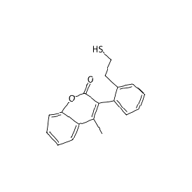 Cc1c(-c2ccccc2CCS)c(=O)oc2ccccc12